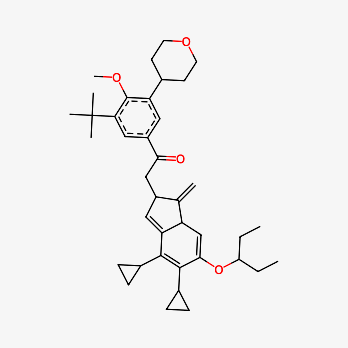 C=C1C(CC(=O)c2cc(C3CCOCC3)c(OC)c(C(C)(C)C)c2)C=C2C(C3CC3)=C(C3CC3)C(OC(CC)CC)=CC12